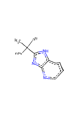 CCCC(C)(CCC)c1nc2ncccc2[nH]1